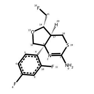 NC1=N[C@@]2(c3ccc(F)cc3F)CO[C@H](CF)[C@H]2CS1